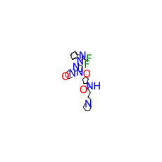 O=C(CCCN1CCCCC1)N[C@H]1CC[C@H](Oc2cc(-n3c(C(F)F)nc4ccccc43)nc(N3CCOCC3)n2)C1